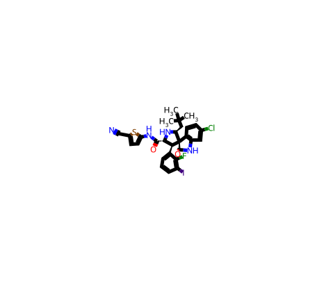 CC(C)(C)C[C@@H]1N[C@@H](C(=O)Nc2ccc(C#N)s2)[C@H](c2cccc(I)c2F)[C@]12C(=O)Nc1cc(Cl)ccc12